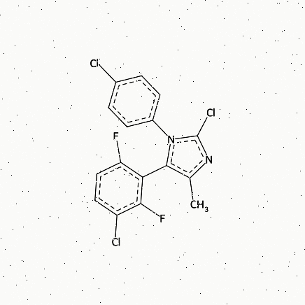 Cc1nc(Cl)n(-c2ccc(Cl)cc2)c1-c1c(F)ccc(Cl)c1F